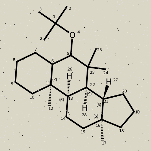 CC(C)(C)OC1C2CCCC[C@]2(C)[C@@H]2CC[C@]3(C)CCC[C@H]3[C@@H]2C1(C)C